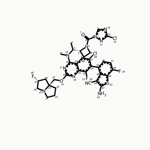 CC([C@H]1CCN1C(=O)n1cnc(Cl)n1)N(C)c1nc(OC[C@@]23CCCN2C[C@H](F)C3)nc2c(F)c(-c3ccc(F)c4sc(N)c(C#N)c34)c(Cl)cc12